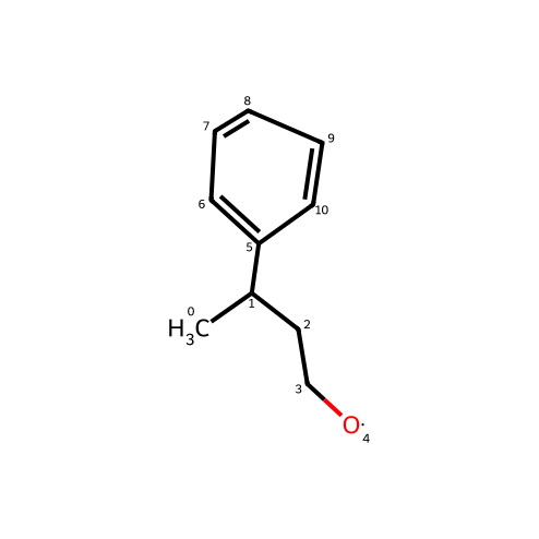 CC(CC[O])c1ccccc1